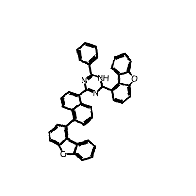 c1ccc(C2=NC(c3cccc4c(-c5cccc6oc7ccccc7c56)cccc34)=NC(c3cccc4oc5ccccc5c34)N2)cc1